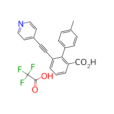 Cc1ccc(-c2c(C#Cc3ccncc3)cccc2C(=O)O)cc1.O=C(O)C(F)(F)F